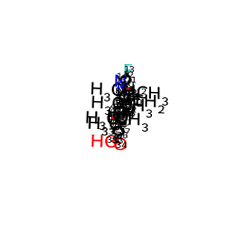 C=C(C)[C@@H]1CC[C@]2(N(C)c3ccc(F)cn3)CC[C@]3(C)[C@H](CC[C@@H]4[C@@]5(C)CC=C(c6ccc(C(=O)O)cc6)C(C)(C)[C@@H]5CC[C@]43C)[C@@H]12